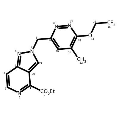 CCOC(=O)c1nccc2nn(Cc3cc(C)c(OCC(F)(F)F)nn3)cc12